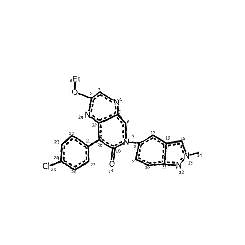 CCOc1cnc2cn(-c3ccc4nn(C)cc4c3)c(=O)c(-c3ccc(Cl)cc3)c2n1